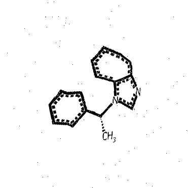 C[C@H](c1ccccc1)n1[c]nc2ccccc21